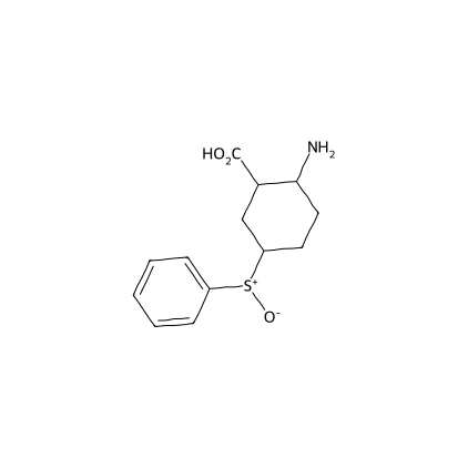 NC1CCC([S+]([O-])c2ccccc2)CC1C(=O)O